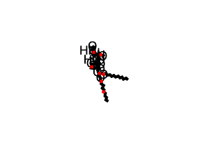 CCCCCCCCCCCCOCC(COCCCCCCCCCCCC)OC(=O)C1=CC[S+]([O-])[C@@H]2C(NC(=O)/C(=N\OC)c3csc(NC=O)n3)C(=O)N12